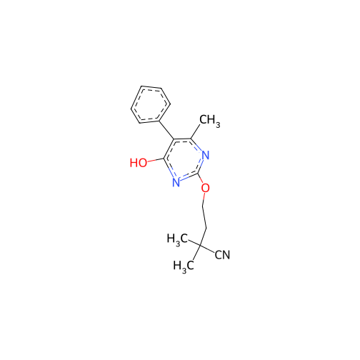 Cc1nc(OCCC(C)(C)C#N)nc(O)c1-c1ccccc1